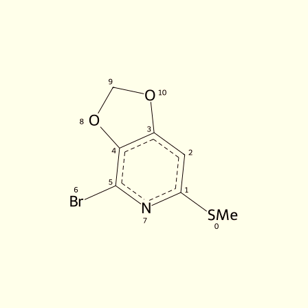 CSc1cc2c(c(Br)n1)OCO2